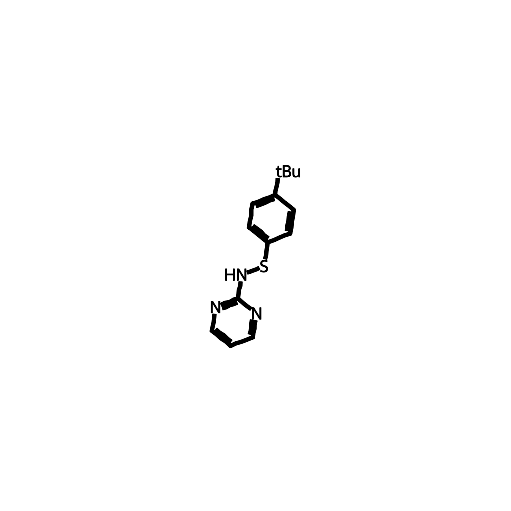 CC(C)(C)c1ccc(SNc2ncccn2)cc1